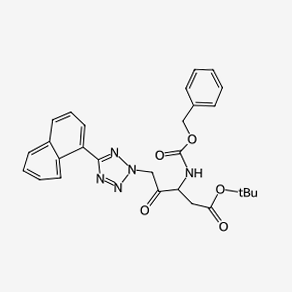 CC(C)(C)OC(=O)CC(NC(=O)OCc1ccccc1)C(=O)Cn1nnc(-c2cccc3ccccc23)n1